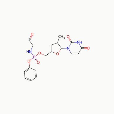 CC1CC(COP(=O)(NCC=O)Oc2ccccc2)OC1n1ccc(=O)[nH]c1=O